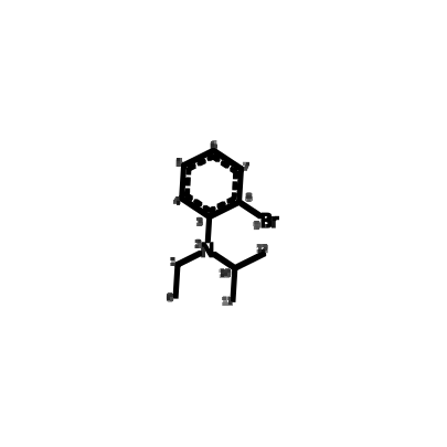 CCN(c1ccccc1Br)C(C)C